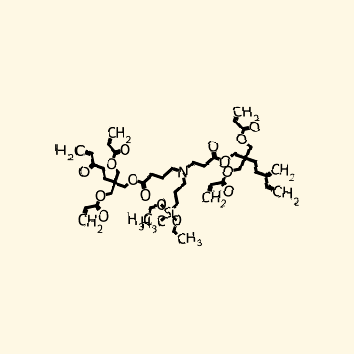 C=CC(=C)CCC(COC(=O)C=C)(COC(=O)C=C)COC(=O)CCN(CCCC(=O)OCC(CCC(=O)C=C)(COC(=O)C=C)COC(=O)C=C)CCC[Si](C)(OCC)OCC